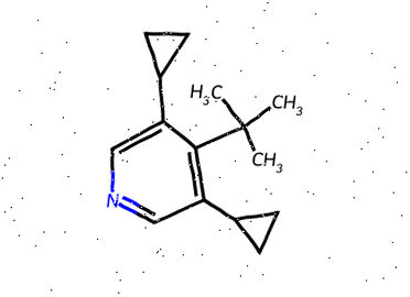 CC(C)(C)c1c(C2CC2)cncc1C1CC1